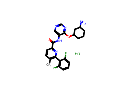 Cl.NC1CCCC(Oc2ncncc2NC(=O)c2ccc(C(F)(F)F)c(-c3c(F)cccc3F)n2)C1